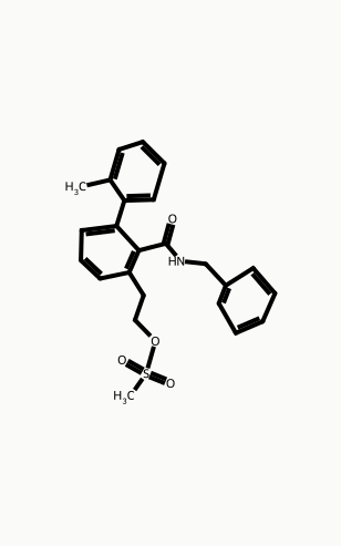 Cc1ccccc1-c1cccc(CCOS(C)(=O)=O)c1C(=O)NCc1ccccc1